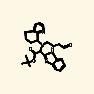 CC(C)(C)OC(=O)C(c1nc2ccccc2[nH]1)N(CCCC=O)C1CCCc2cccnc21